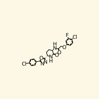 O=C(COc1ccc(Cl)c(F)c1)N[C@@H]1CC[C@@H](c2nnc(-c3ccc(Cl)cc3)o2)NC1=O